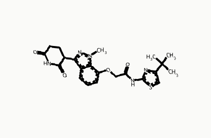 Cn1nc(C2CCC(=O)NC2=O)c2cccc(OCC(=O)Nc3nc(C(C)(C)C)cs3)c21